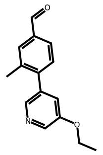 CCOc1cncc(-c2ccc(C=O)cc2C)c1